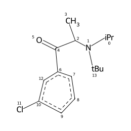 CC(C)N(C(C)C(=O)c1cccc(Cl)c1)C(C)(C)C